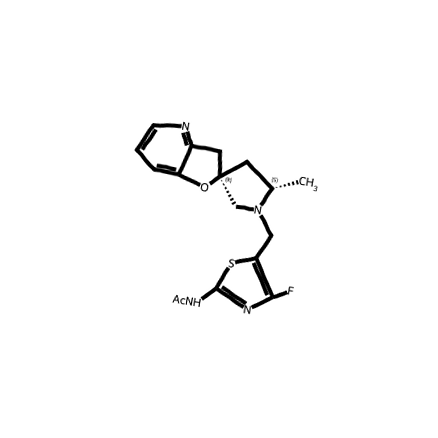 CC(=O)Nc1nc(F)c(CN2C[C@]3(Cc4ncccc4O3)C[C@@H]2C)s1